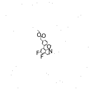 CCOC(=O)Cc1ccc(OC)c(-c2cc(F)c(F)c3ccncc23)c1